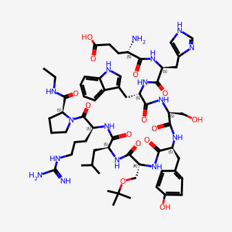 CCNC(=O)[C@@H]1CCCN1C(=O)[C@H](CCCNC(=N)N)NC(=O)[C@H](CC(C)C)NC(=O)[C@@H](COC(C)(C)C)NC(=O)[C@H](Cc1ccc(O)cc1)NC(=O)[C@H](CO)NC(=O)[C@H](Cc1c[nH]c2ccccc12)NC(=O)[C@H](Cc1c[nH]cn1)NC(=O)[C@@H](N)CCC(=O)O